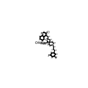 COc1ccc2ncc(Cl)c(CCCC3(C(=O)NO)CCN(CCCc4cc(F)cc(F)c4)CC3)c2c1